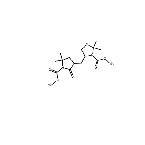 CC(C)(C)OC(=O)N1C(=O)C(CC2COC(C)(C)N2C(=O)OC(C)(C)C)CC1(C)C